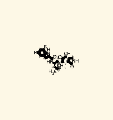 CCC(=O)[C@H](C[C@@H]1CCNC1=O)NC(=O)[C@H](CC(C)(C)F)NC(=O)c1cc2cc(F)cc(F)c2[nH]1